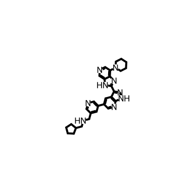 c1ncc(-c2cnc3[nH]nc(-c4nc5c(N6CCCCC6)cncc5[nH]4)c3c2)cc1CNCC1CCCC1